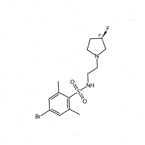 Cc1cc(Br)cc(C)c1S(=O)(=O)NCCN1CC[C@@H](F)C1